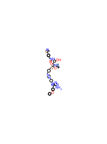 Cc1ncsc1-c1ccc(CNC(=O)[C@@H]2C[C@@H](O)CC2C(=O)[C@@H](NC(=O)C2(F)CC2)C(C)(C)SCC2CCC(CN3CCN(C4CCC(n5nc(-c6ccc(Oc7ccccc7)cc6)c6c(N)ncnc65)CC4)CC3)CC2)cc1